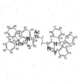 CC(=O)N(CCc1cn(C(c2ccccc2)(c2ccccc2)c2ccccc2)c(F)n1)c1csc(NC(c2ccccc2)(c2ccccc2)c2ccccc2)n1